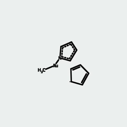 [CH3][Ru][n]1cccc1.[CH]1C=CC=C1